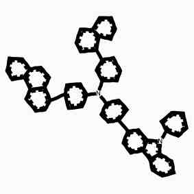 c1ccc(-n2c3ccccc3c3ccc(-c4ccc(N(c5ccc(-c6cccc7c6ccc6ccccc67)cc5)c5cccc(-c6cccc7ccccc67)c5)cc4)cc32)cc1